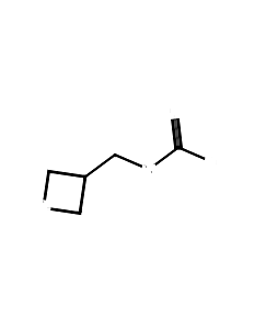 O=C(O)NCC1COC1